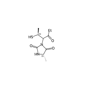 CCC(=O)C([C@H](C)S)N1C(=O)N[C@@H](C)C1=O